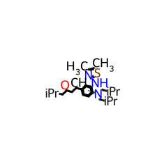 Cc1nc(Nc2cc(C(C)CC(=O)CC(C)C)ccc2N(CC(C)C)CC(C)C)sc1C